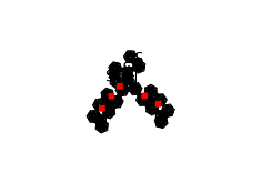 c1ccc2c(c1)-c1ccccc1C21c2cc(-c3ccc4c(c3)c3cc(-c5ccc6c(c5)C5(c7ccccc7-c7ccccc75)c5cc(-n7c8ccccc8c8ccccc87)ccc5-6)ccc3c3nc5c(-c6cccc7sc8ccccc8c67)sc(-c6cccc7sc8ccccc8c67)c5nc43)ccc2-c2ccc(-n3c4ccccc4c4ccccc43)cc21